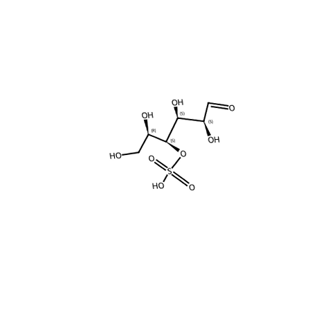 O=C[C@@H](O)[C@H](O)[C@@H](OS(=O)(=O)O)[C@H](O)CO